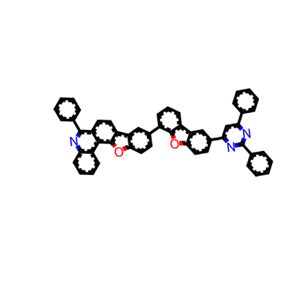 c1ccc(-c2cc(-c3ccc4oc5c(-c6ccc7oc8c(ccc9c(-c%10ccccc%10)nc%10ccccc%10c98)c7c6)cccc5c4c3)nc(-c3ccccc3)n2)cc1